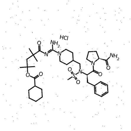 CC(C)(CC(C)(C)C(=O)N=C(N)N1CCC(CN([C@H](Cc2ccccc2)C(=O)N2CCC[C@H]2C(N)=O)S(C)(=O)=O)CC1)OC(=O)C1CCCCC1.Cl